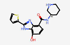 O=C(N[C@@H]1CCCNC1)c1ccc(O)c2[nH]c(-c3cccs3)nc12